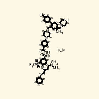 CN(C)CCC(CSc1ccccc1)Nc1ccc(S(=O)(=O)NC(=O)c2ccc(N3CCN(CC4=C(c5ccc(Cl)cc5)CCC(C)(CN5CCNCC5)C4)CC3)cc2)cc1S(=O)(=O)C(F)(F)F.Cl